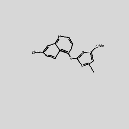 COc1cc(C)nc(Sc2ccnc3cc(Cl)ccc23)n1